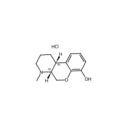 CN1CCC[C@@H]2c3cccc(O)c3OC[C@@H]21.Cl